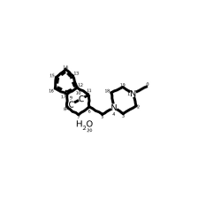 CN1CCN(CC2CC3CCC2c2ccccc23)CC1.O